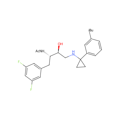 CCC(C)c1cccc(C2(NC[C@H](O)[C@H](Cc3cc(F)cc(F)c3)NC(C)=O)CC2)c1